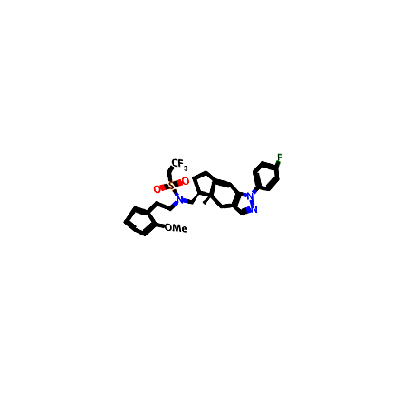 COc1ccccc1CCN(C[C@H]1CCC2=Cc3c(cnn3-c3ccc(F)cc3)C[C@@]21C)S(=O)(=O)CC(F)(F)F